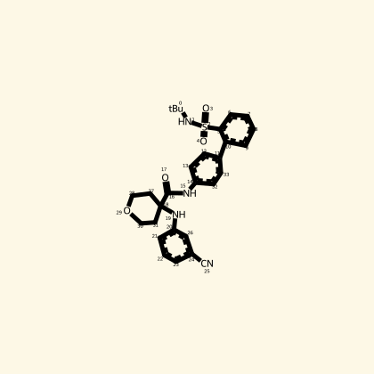 CC(C)(C)NS(=O)(=O)c1ccccc1-c1ccc(NC(=O)C2(Nc3cccc(C#N)c3)CCOCC2)cc1